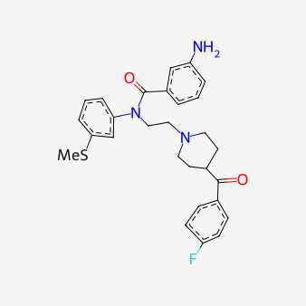 CSc1cccc(N(CCN2CCC(C(=O)c3ccc(F)cc3)CC2)C(=O)c2cccc(N)c2)c1